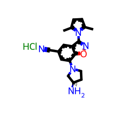 Cc1ccc(C)n1-c1noc2c(N3CC[C@@H](N)C3)cc(C#N)cc12.Cl